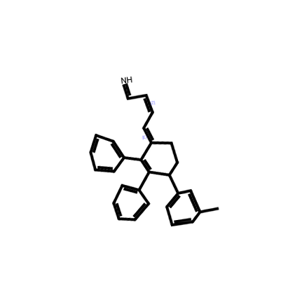 Cc1cccc(C2CC/C(=C\C=C/C=N)C(c3ccccc3)=C2c2ccccc2)c1